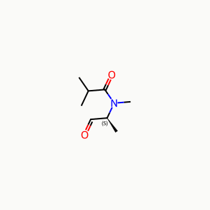 CC(C)C(=O)N(C)[C@@H](C)C=O